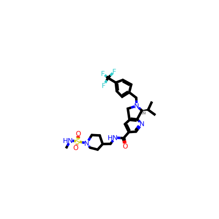 CNS(=O)(=O)N1CCC(CNC(=O)c2cnc3c(c2)CN(Cc2ccc(C(F)(F)F)cc2)[C@H]3C(C)C)CC1